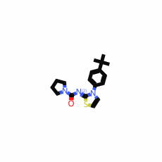 CC(C)(C)c1ccc(-n2ccs/c2=N\C(=O)N2CCCC2)cc1